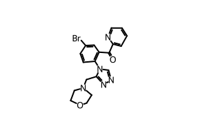 O=C(c1ccccn1)c1cc(Br)ccc1-n1cnnc1CN1CCOCC1